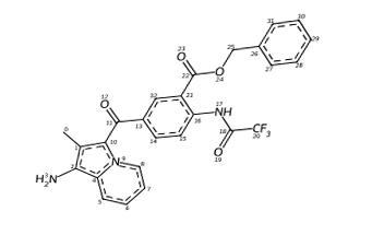 Cc1c(N)c2ccccn2c1C(=O)c1ccc(NC(=O)C(F)(F)F)c(C(=O)OCc2ccccc2)c1